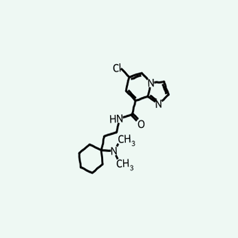 CN(C)C1(CCNC(=O)c2cc(Cl)cn3ccnc23)CCCCC1